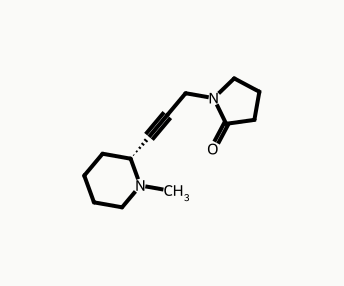 CN1CCCC[C@@H]1C#CCN1CCCC1=O